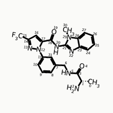 C[C@H](N)C(=O)NCc1cccc(-n2nc(C(F)(F)F)cc2C(=O)Nc2nc3ccccc3n2C)c1